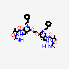 CN[C@@H](C)C(=O)N[C@H](C(=O)N1CC[C@@]2(C)C[C@@H](OCCO[C@H]3CN(CCc4ccccc4)C[C@@]4(C)N(C(=O)C(NC(=O)[C@H](C)N)C(C)C)CC[C@@]4(C)C3)CN(CCc3ccccc3)C[C@@]12C)C(C)C